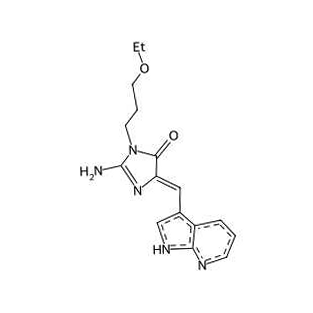 CCOCCCN1C(=O)/C(=C/c2c[nH]c3ncccc23)N=C1N